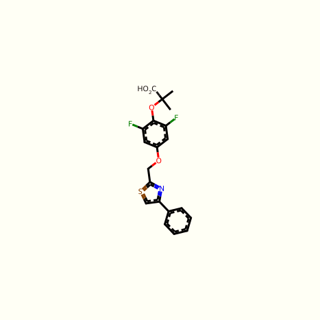 CC(C)(Oc1c(F)cc(OCc2nc(-c3ccccc3)cs2)cc1F)C(=O)O